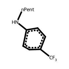 [CH2]CCCCNc1ccc(C(F)(F)F)cc1